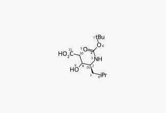 CC(C)C[C@H](NC(=O)OC(C)(C)C)C(O)CC(=O)O